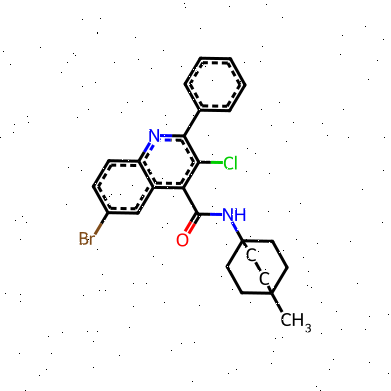 CC12CCC(NC(=O)c3c(Cl)c(-c4ccccc4)nc4ccc(Br)cc34)(CC1)CC2